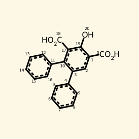 O=C(O)c1cc(-c2ccccc2)c(-c2ccccc2)c(C(=O)O)c1O